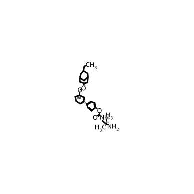 CCC1CC2CC(C1)CC(OO[C@@H]1CCC[C@@H](c3ccc(OC(=O)NCC(C)(C)N)cc3)C1)C2